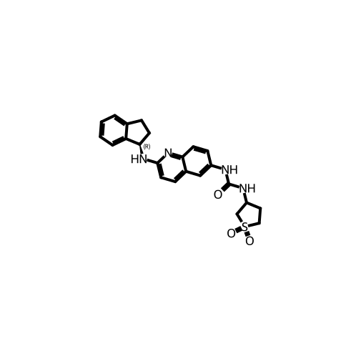 O=C(Nc1ccc2nc(N[C@@H]3CCc4ccccc43)ccc2c1)NC1CCS(=O)(=O)C1